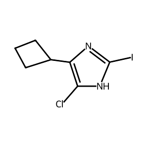 Clc1[nH]c(I)nc1C1CCC1